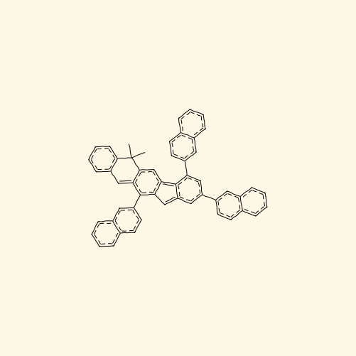 CC1(C)c2ccccc2C=c2c1cc1c(c2-c2ccc3ccccc3c2)C=c2cc(-c3ccc4ccccc4c3)cc(-c3ccc4ccccc4c3)c2=1